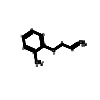 [CH2]c1ccccc1OCC=C